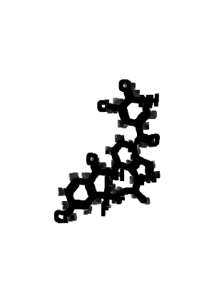 CC(C)n1ncc2c1C(NC(=O)c1ccc(Cl)cc1C(F)(F)F)CCN2C(=O)c1c[nH]c(=O)c(Cl)c1